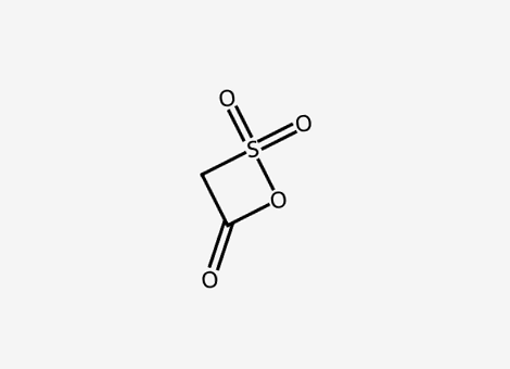 O=C1CS(=O)(=O)O1